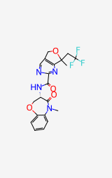 CN1C(=O)[C@@H](NC(=O)c2ncc3c(n2)C(C)(CC(F)(F)F)OC3)COc2ccccc21